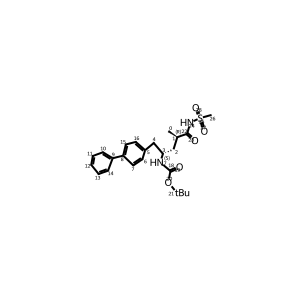 C[C@H](C[C@@H](Cc1ccc(-c2ccccc2)cc1)NC(=O)OC(C)(C)C)C(=O)NS(C)(=O)=O